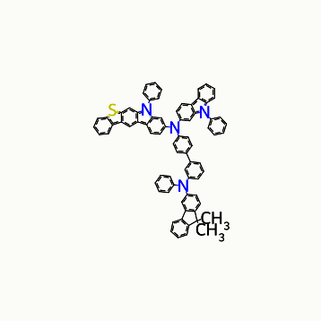 CC1(C)c2ccccc2-c2cc(N(c3ccccc3)c3cccc(-c4ccc(N(c5ccc6c7ccccc7n(-c7ccccc7)c6c5)c5ccc6c7cc8c(cc7n(-c7ccccc7)c6c5)sc5ccccc58)cc4)c3)ccc21